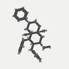 CO[C@H]1O[C@@H]2CO[C@@H](c3ccccc3)O[C@H]2[C@H](N=[N+]=[N-])[C@@H]1N=[N+]=[N-]